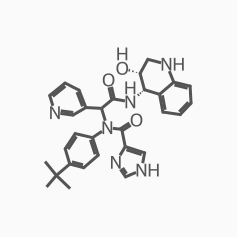 CC(C)(C)c1ccc(N(C(=O)c2c[nH]cn2)C(C(=O)N[C@H]2c3ccccc3NC[C@H]2O)c2cccnc2)cc1